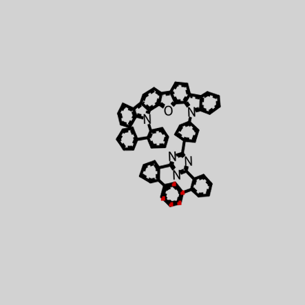 c1ccc(-c2ccccc2-c2nc(-c3ccc(-n4c5ccccc5c5ccc6c7ccc8c9ccccc9n(-c9ccccc9-c9ccccc9)c8c7oc6c54)cc3)nc(-c3ccccc3-c3ccccc3)n2)cc1